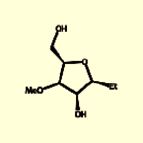 CC[C@@H]1O[C@H](CO)C(OC)[C@@H]1O